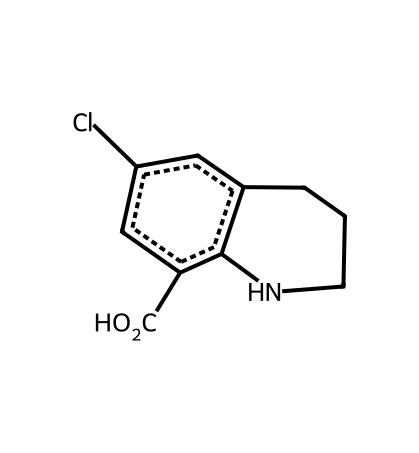 O=C(O)c1cc(Cl)cc2c1NCCC2